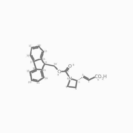 O=C(O)/C=C/[C@@H]1CCN1C(=O)OCC1c2ccccc2-c2ccccc21